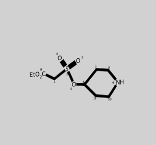 CCOC(=O)CS(=O)(=O)OC1CCNCC1